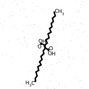 CCCCCCCCCCCCC/C(C(=O)O)=C(/CCCCCCCCCCCCC)C(=O)O